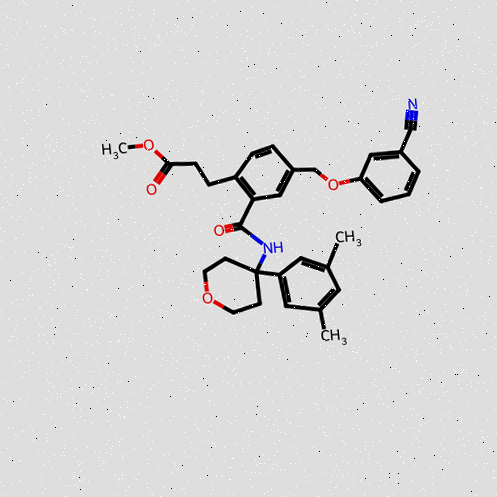 COC(=O)CCc1ccc(COc2cccc(C#N)c2)cc1C(=O)NC1(c2cc(C)cc(C)c2)CCOCC1